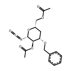 CC(=O)OC[C@@H]1C[C@H](OCc2ccccc2)[C@@H](OC(C)=O)[C@H](N=C=O)O1